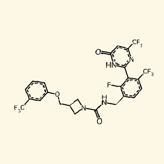 O=C(NCc1ccc(C(F)(F)F)c(-c2nc(C(F)(F)F)cc(=O)[nH]2)c1F)N1CC(COc2cccc(C(F)(F)F)c2)C1